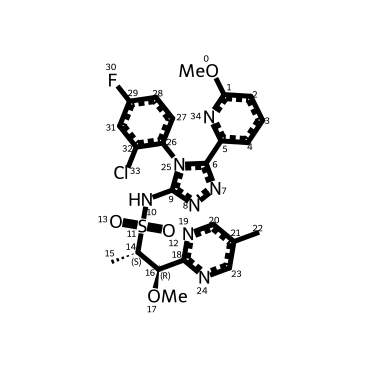 COc1cccc(-c2nnc(NS(=O)(=O)[C@@H](C)[C@H](OC)c3ncc(C)cn3)n2-c2ccc(F)cc2Cl)n1